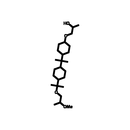 COC(C)COC(C)(C)C1CCC(C(C)(C)C2CCC(OCC(C)O)CC2)CC1